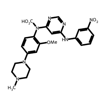 COc1cc(N2CCN(C)CC2)ccc1N(C(=O)O)c1cc(Nc2cccc([N+](=O)[O-])c2)ncn1